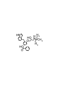 CC(C)(C)NCC(O)COc1ccccc1Cc1cccc2[nH]ccc12.O=C(O)c1ccccc1